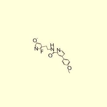 CCOc1ccc(-c2ccnc(C(=O)NCCc3cc(OC)cnc3F)c2)cc1